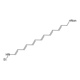 CCCCCCCCCCC=CC=CC=CC=CC=CC=CNCC